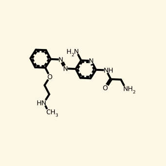 CNCCOc1ccccc1/N=N/c1ccc(NC(=O)CN)nc1N